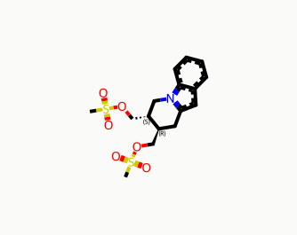 CS(=O)(=O)OC[C@@H]1Cc2cc3ccccc3n2C[C@H]1COS(C)(=O)=O